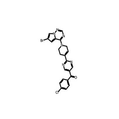 O=C(c1ccc(Cl)cc1)c1cnc(C2=CCN(c3ncnn4cc(Br)cc34)CC2)nc1